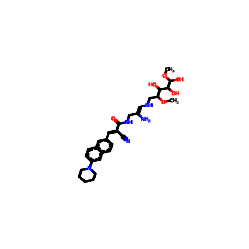 COC(O)C(O)C(O)C(CN/C=C(\N)CNC(=O)/C(C#N)=C/c1ccc2cc(N3CCCCC3)ccc2c1)OC